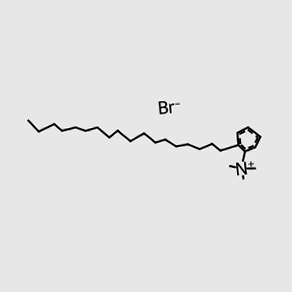 CCCCCCCCCCCCCCCCCCc1ccccc1[N+](C)(C)C.[Br-]